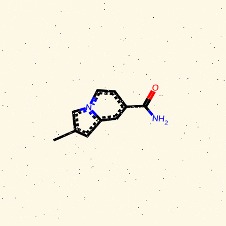 Cc1cc2cc(C(N)=O)ccn2c1